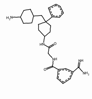 N=C(N)c1cccc(C(=O)NCC(=O)NC2CCC(CC3CCC(N)CC3)(c3ccccc3)CC2)c1